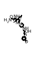 CCCc1cc(N2CCC(NCC(O)COc3cccc(OC)c3)CC2)nc2sc(C(N)=O)c(N)c12